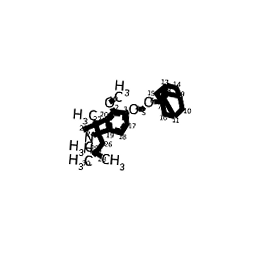 COc1c(OCOC23CC4CC(CC(C4)C2)C3)ccc2c1C1(C)CNC21CC(C)(C)C